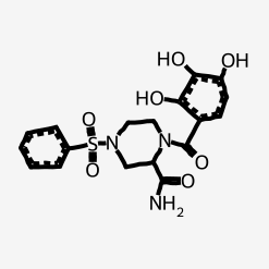 NC(=O)C1CN(S(=O)(=O)c2ccccc2)CCN1C(=O)c1ccc(O)c(O)c1O